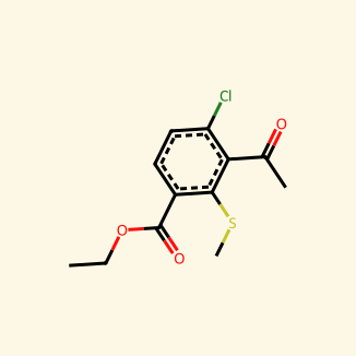 CCOC(=O)c1ccc(Cl)c(C(C)=O)c1SC